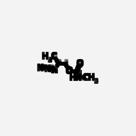 CNC(=O)OCC(C)N=[N+]=[N-]